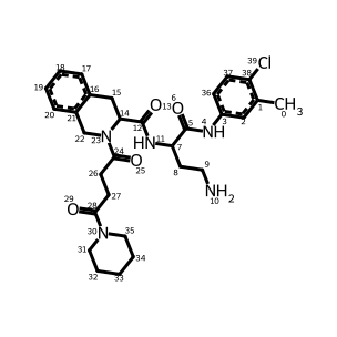 Cc1cc(NC(=O)C(CCN)NC(=O)C2Cc3ccccc3CN2C(=O)CCC(=O)N2CCCCC2)ccc1Cl